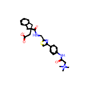 C[N+](C)(C)CC(=O)Nc1ccc(-c2csc(CNC(=O)C3(CC(=O)[O-])Cc4ccccc4C3)n2)cc1